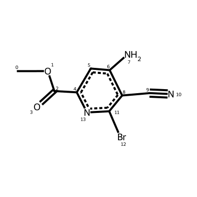 COC(=O)c1cc(N)c(C#N)c(Br)n1